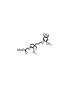 COC(=O)CON=C(C)C(CI)(CI)CCCOc1cc(C)c(I)cc1C